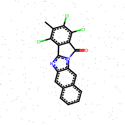 Cc1c(Cl)c(Cl)c2c(c1Cl)-c1nc3cc4ccccc4cc3n1C2=O